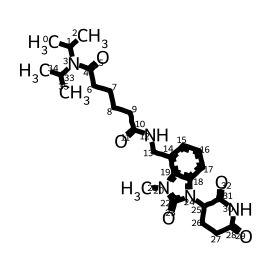 CC(C)N(C(=O)CCCCC(=O)NCc1cccc2c1n(C)c(=O)n2C1CCC(=O)NC1=O)C(C)C